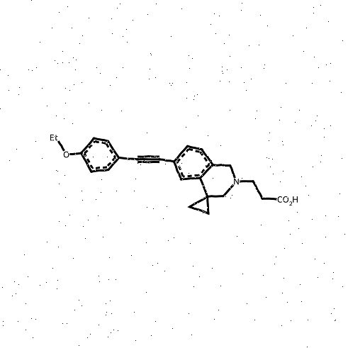 CCOc1ccc(C#Cc2ccc3c(c2)C2(CC2)CN(CCC(=O)O)C3)cc1